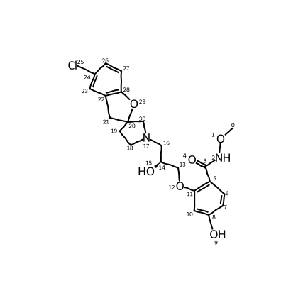 CONC(=O)c1ccc(O)cc1OC[C@@H](O)CN1CCC2(Cc3cc(Cl)ccc3O2)C1